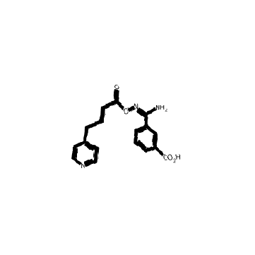 N/C(=N/OC(=O)CCCc1ccncc1)c1cccc(C(=O)O)c1